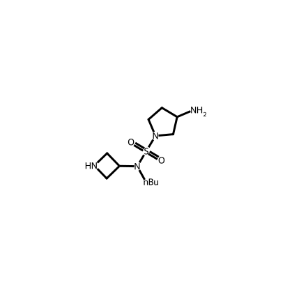 CCCCN(C1CNC1)S(=O)(=O)N1CCC(N)C1